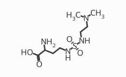 CN(C)CCNS(=O)(=O)NCCC(N)C(=O)O